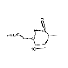 CC1CCN(CC(=O)O)CC1=O.CO